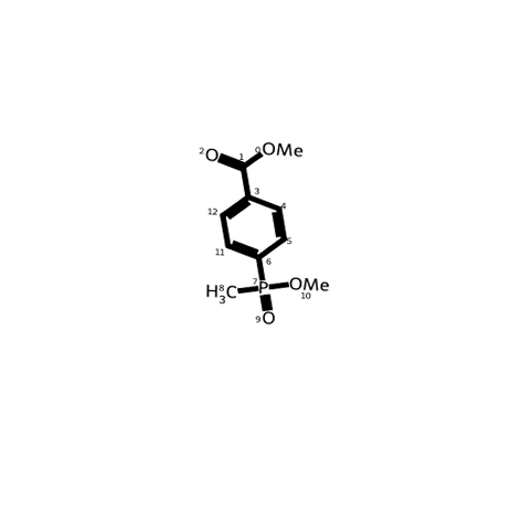 COC(=O)c1ccc(P(C)(=O)OC)cc1